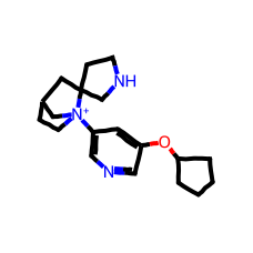 c1ncc([N+]23CCC(CC24CCNC4)C3)cc1OC1CCCC1